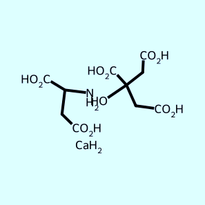 NC(CC(=O)O)C(=O)O.O=C(O)CC(O)(CC(=O)O)C(=O)O.[CaH2]